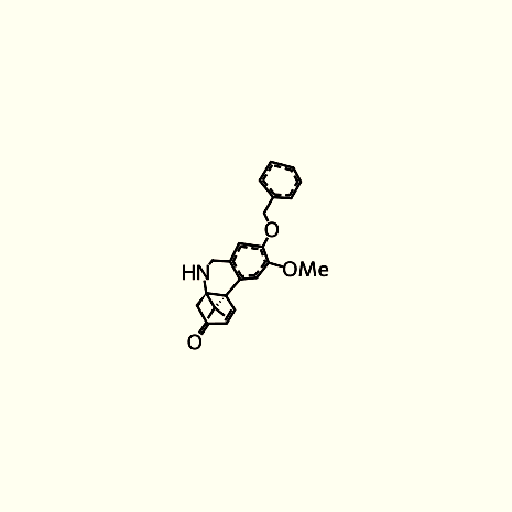 COc1cc2c(cc1OCc1ccccc1)CN[C@]13CC(=O)C=C[C@]21C3(C)C